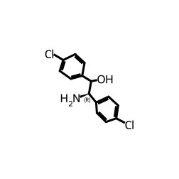 N[C@H](c1ccc(Cl)cc1)C(O)c1ccc(Cl)cc1